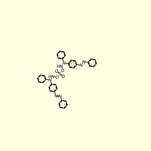 O=S(=O)(ONN(c1ccccc1)c1ccc(/N=N/c2ccccc2)cc1)ONN(c1ccccc1)c1ccc(/N=N/c2ccccc2)cc1